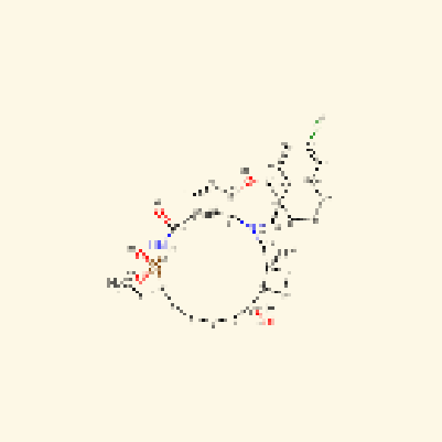 CC[C@H]1CCCC[C@H](O)[C@@H]2CC[C@H]2CN2C[C@@]3(CCCc4cc(Cl)ccc43)COc3ccc(cc32)C(=O)NS1(=O)=O